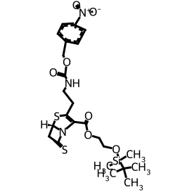 CC(C)(C)[Si](C)(C)OCCOC(=O)C1=C(CCNC(=O)OCc2ccc([N+](=O)[O-])cc2)S[C@H]2CC(=S)N12